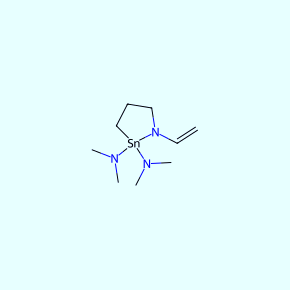 C=C[N]1CC[CH2][Sn]1([N](C)C)[N](C)C